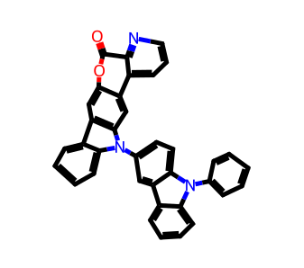 O=c1oc2cc3c4ccccc4n(-c4ccc5c(c4)c4ccccc4n5-c4ccccc4)c3cc2c2cccnc12